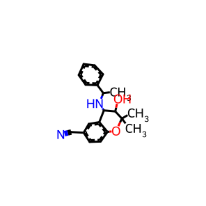 CC(NC1c2cc(C#N)ccc2OC(C)(C)C1O)c1ccccc1